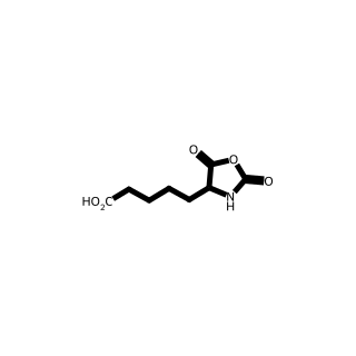 O=C(O)CCCCC1NC(=O)OC1=O